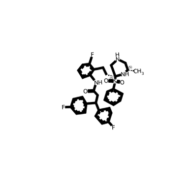 C[C@H]1CNC[C@](CCc2c(F)cccc2NC(=O)CC(c2ccc(F)cc2)c2ccc(F)cc2)(S(=O)(=O)c2ccccc2)N1